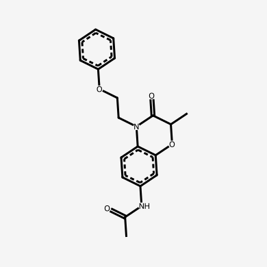 CC(=O)Nc1ccc2c(c1)OC(C)C(=O)N2CCOc1ccccc1